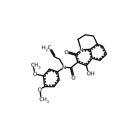 C=CCN(C(=O)c1c(O)c2cccc3c2n(c1=O)CCC3)c1ccc(OC)c(OC)c1